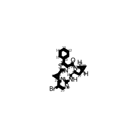 O=C(c1nc(C2CC2)sc1-c1ccccc1)N1[C@H](CNc2ncc(Br)cn2)C[C@@H]2C[C@@H]21